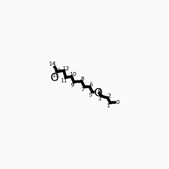 CCCCOCCCCCCCCC(C)=O